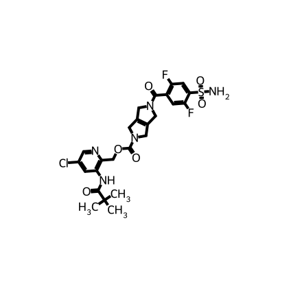 CC(C)(C)C(=O)Nc1cc(Cl)cnc1COC(=O)N1CC2=C(C1)CN(C(=O)c1cc(F)c(S(N)(=O)=O)cc1F)C2